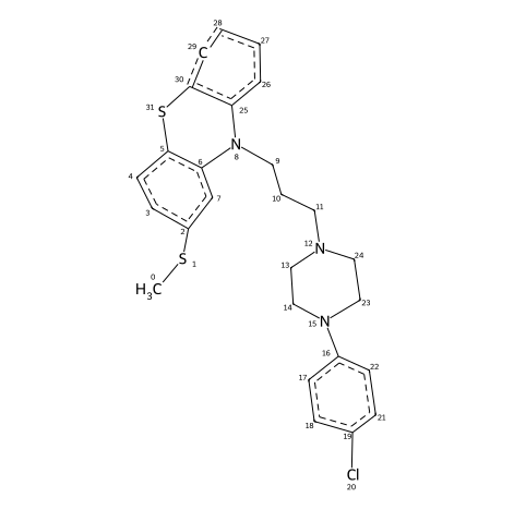 CSc1ccc2c(c1)N(CCCN1CCN(c3ccc(Cl)cc3)CC1)c1ccccc1S2